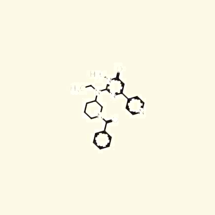 CCN(c1nc(-c2ccncc2)cc(=O)n1C)C1CCCN(C(=O)c2ccccc2)C1